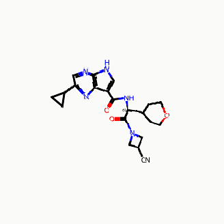 N#CC1CN(C(=O)[C@@H](NC(=O)c2c[nH]c3ncc(C4CC4)nc23)C2CCOCC2)C1